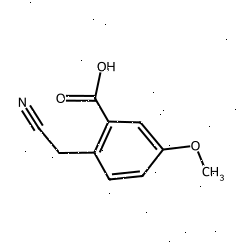 COc1ccc(CC#N)c(C(=O)O)c1